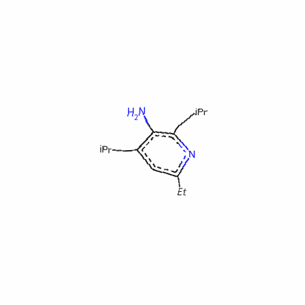 CCc1cc(C(C)C)c(N)c(C(C)C)n1